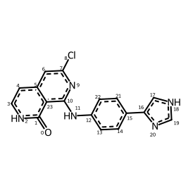 O=c1[nH]ccc2cc(Cl)nc(Nc3ccc(-c4c[nH]cn4)cc3)c12